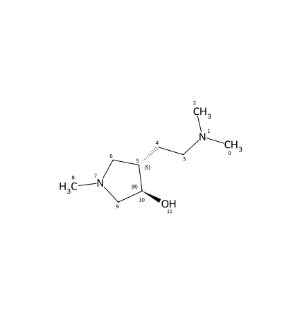 CN(C)CC[C@H]1CN(C)C[C@@H]1O